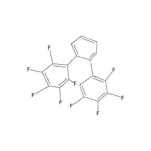 Fc1cc(-c2ccccc2-c2c(F)c(F)c(F)c(F)c2F)c(F)c(F)c1F